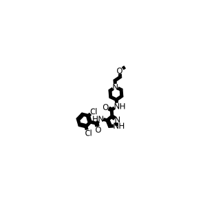 COCCN1CCC(NC(=O)c2n[nH]cc2NC(=O)c2c(Cl)cccc2Cl)CC1